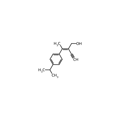 C#C/C(CO)=C(/C)c1ccc(C(C)C)cc1